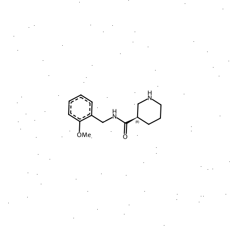 COc1ccccc1CNC(=O)[C@@H]1CCCNC1